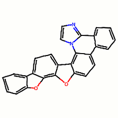 c1ccc2c(c1)oc1c2ccc2c1oc1ccc3c4ccccc4c4nccn4c3c12